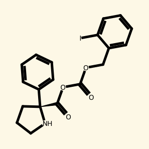 O=C(OCc1ccccc1I)OC(=O)[C@]1(c2ccccc2)CCCN1